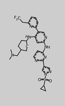 CN(C)CC1CCC(Nc2cc(Nc3ccnc(-c4cnn(S(=O)(=O)C5CC5)c4)n3)ncc2-c2cccc(CC(F)(F)F)n2)CC1